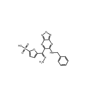 NN=C(c1ccc(S(=O)(=O)O)o1)c1nc2nonc2nc1NCc1ccccc1